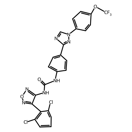 O=C(Nc1ccc(-c2ncn(-c3ccc(OC(F)(F)F)cc3)n2)cc1)Nc1nonc1-c1c(Cl)cccc1Cl